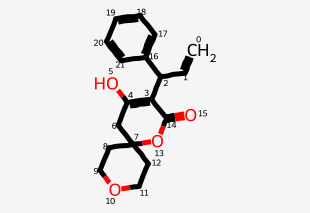 C=CC(C1=C(O)CC2(CCOCC2)OC1=O)c1ccccc1